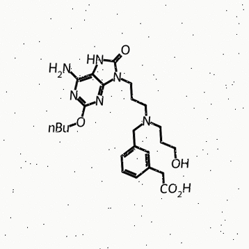 CCCCOc1nc(N)c2[nH]c(=O)n(CCCN(CCCO)Cc3cccc(CC(=O)O)c3)c2n1